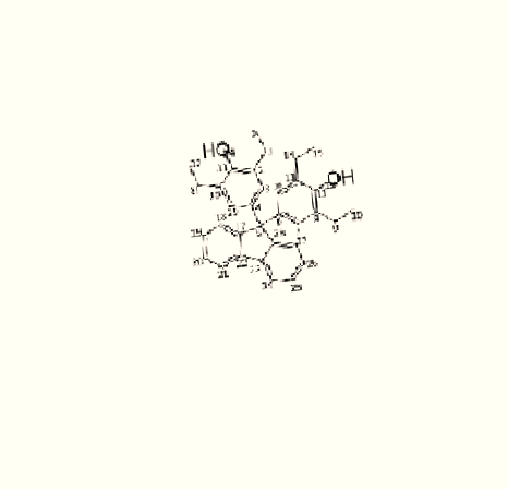 CCc1cc(C2(c3cc(CC)c(O)c(CC)c3)c3ccccc3-c3ccccc32)cc(CC)c1O